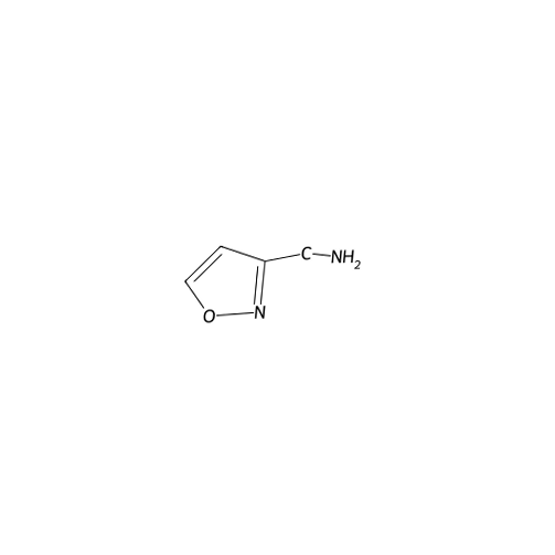 NCc1ccon1